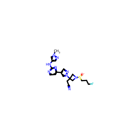 Cn1cc(Nc2nccc(-c3cnn(C4(CC#N)CN([S+]([O-])CCCF)C4)c3)n2)cn1